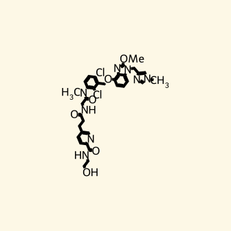 COc1nc2c(OCc3c(Cl)ccc(N(C)C(=O)CNC(=O)CCc4ccc(C(=O)NCCO)nc4)c3Cl)cccc2n1Cc1cn(C)cn1